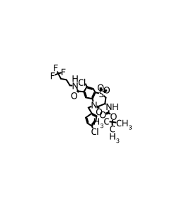 CC(C)(C)OC(=O)N[C@H]1CS(=O)(=O)c2cc(Cl)c(C(=O)NCCCC(F)(F)F)cc2N(Cc2ccc(Cl)cc2)C1=O